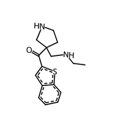 CCNCC1(C(=O)c2cc3ccccc3s2)CCNC1